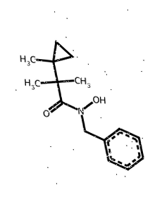 CC1(C(C)(C)C(=O)N(O)Cc2ccccc2)CC1